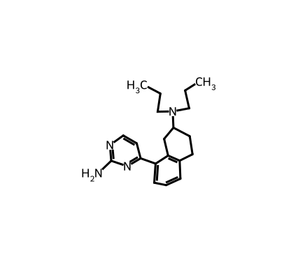 CCCN(CCC)C1CCc2cccc(-c3ccnc(N)n3)c2C1